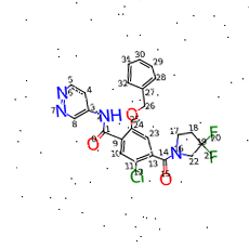 O=C(Nc1ccnnc1)c1cc(Cl)c(C(=O)N2CCC(F)(F)C2)cc1OCc1ccccc1